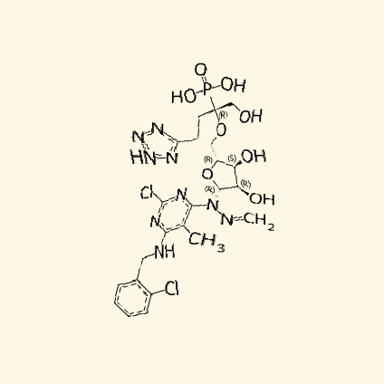 C=NN(c1nc(Cl)nc(NCc2ccccc2Cl)c1C)[C@@H]1O[C@H](CO[C@](CO)(CCc2nn[nH]n2)P(=O)(O)O)[C@@H](O)[C@H]1O